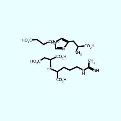 N=C(N)NCCCC(NC(CC(=O)O)C(=O)O)C(=O)O.NC(Cc1c[nH]cn1)C(=O)O.O=C(O)CCC(=O)O